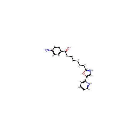 Nc1ccc(C(=O)CCCCCCc2ncc(-c3ccccn3)o2)cc1